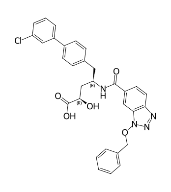 O=C(N[C@H](Cc1ccc(-c2cccc(Cl)c2)cc1)C[C@@H](O)C(=O)O)c1ccc2nnn(OCc3ccccc3)c2c1